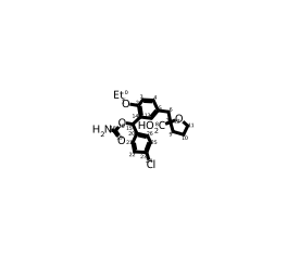 CCOc1ccc(CC2(C(=O)O)CCCO2)cc1C(OC(N)=O)c1ccc(Cl)cc1